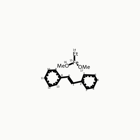 C(=Cc1ccccc1)c1ccccc1.C[CH2][Fe]([O]C)[O]C